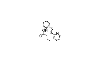 CCCC(=O)O.c1ccc(SSc2ccccn2)nc1